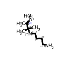 C/C(=N\O)C(C)(C)NCCCCN